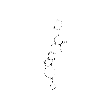 O=C(O)N(CCc1ccccc1)Cc1ccc2c(c1)nc1n2CCN(C2CCC2)CC1